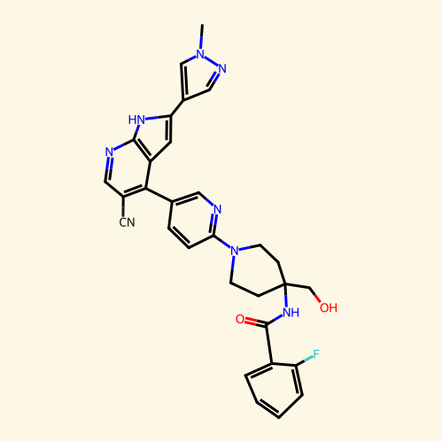 Cn1cc(-c2cc3c(-c4ccc(N5CCC(CO)(NC(=O)c6ccccc6F)CC5)nc4)c(C#N)cnc3[nH]2)cn1